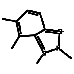 Cc1ccc2c(c1C)=[Si](C)N(C)[Si]=2